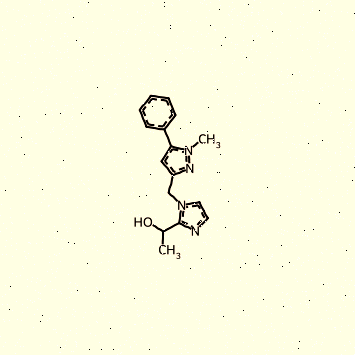 CC(O)c1nccn1Cc1cc(-c2ccccc2)n(C)n1